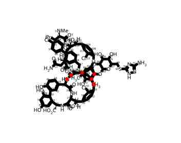 CN[C@H](CC(C)C)C(=O)N[C@H]1C(=O)N[C@@H](CC(N)=O)C(=O)N[C@H]2C(=O)N[C@H]3C(=O)N[C@H](C(=O)N[C@H](C(=O)O)c4cc(O)cc(O)c4-c4cc3ccc4O)[C@H](O)c3ccc(c(Cl)c3)Oc3cc2cc(c3OC2OC(CSc3nc(N)n[nH]3)C(O)C(O)C2OC2CC(C)(NCc3ccc(-c4ccc(Cl)cc4)cc3)C(O)C(C)O2)Oc2ccc(cc2Cl)[C@H]1O